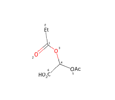 CCC(=O)OC(OC(C)=O)C(=O)O